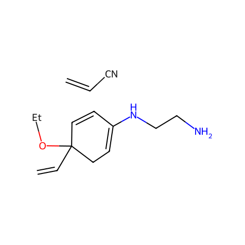 C=CC#N.C=CC1(OCC)C=CC(NCCN)=CC1